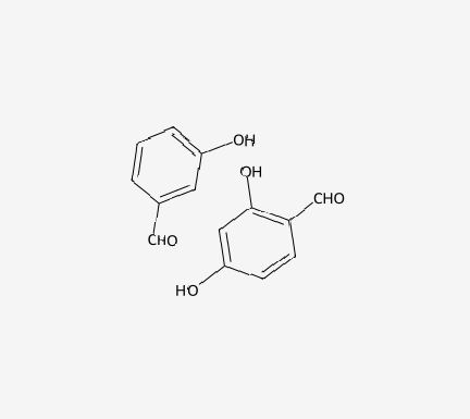 O=Cc1ccc(O)cc1O.O=Cc1cccc(O)c1